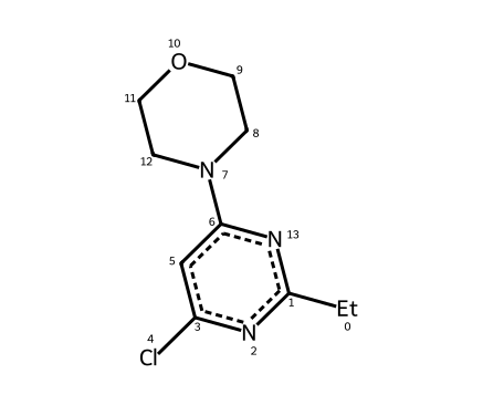 CCc1nc(Cl)cc(N2CCOCC2)n1